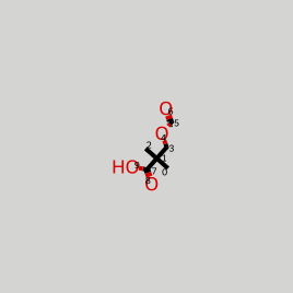 CC(C)(CO[C]=O)C(=O)O